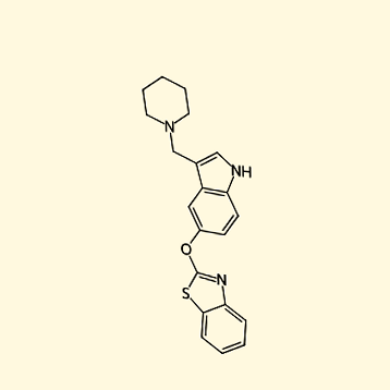 c1ccc2sc(Oc3ccc4[nH]cc(CN5CCCCC5)c4c3)nc2c1